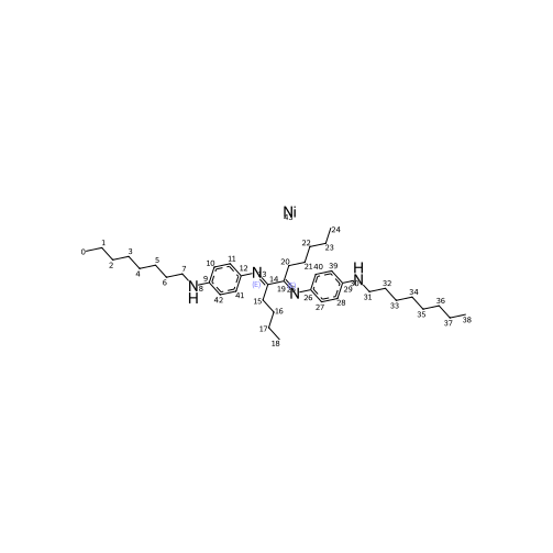 CCCCCCCCNc1ccc(/N=C(CCCC)/C(CCCCC)=N/c2ccc(NCCCCCCCC)cc2)cc1.[Ni]